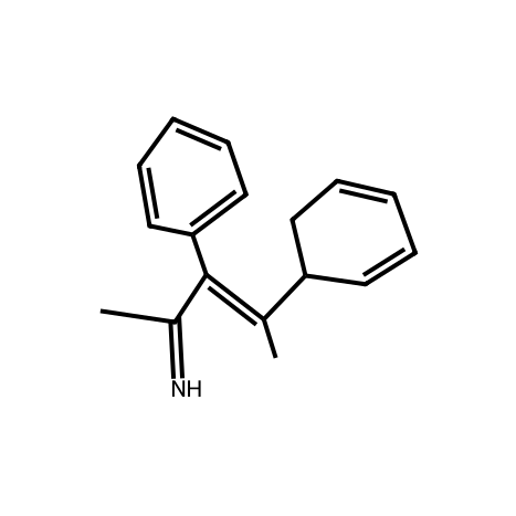 CC(=N)/C(=C(\C)C1C=CC=CC1)c1ccccc1